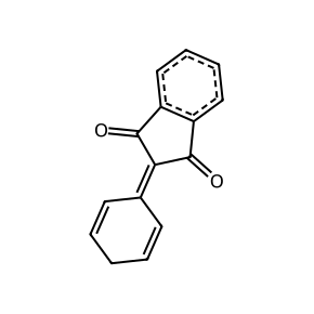 O=C1C(=C2C=CCC=C2)C(=O)c2ccccc21